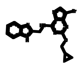 Brc1cnn2c(NCc3nc4ccccc4[nH]3)nc(OCC3CC3)nc12